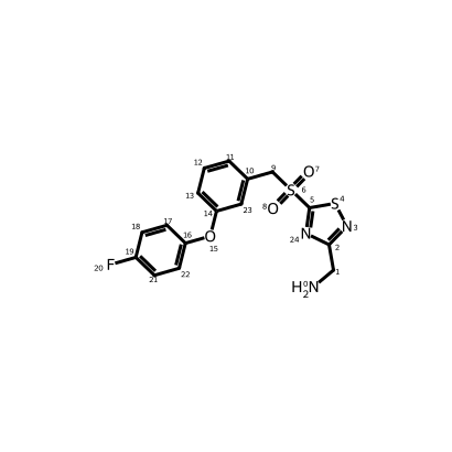 NCc1nsc(S(=O)(=O)Cc2cccc(Oc3ccc(F)cc3)c2)n1